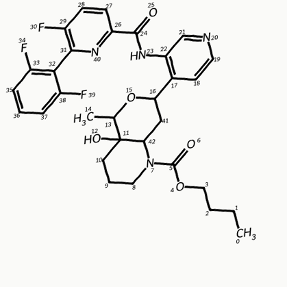 CCCCOC(=O)N1CCCC2(O)C(C)OC(c3ccncc3NC(=O)c3ccc(F)c(-c4c(F)cccc4F)n3)CC12